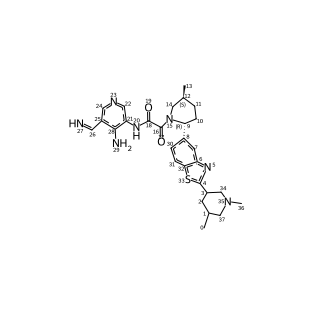 CC1CC(c2nc3cc([C@H]4CC[C@H](C)CN4C(=O)C(=O)Nc4cncc(C=N)c4N)ccc3s2)CN(C)C1